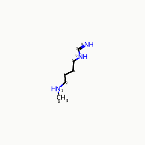 CNCCCCNC=N